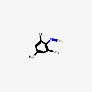 C=Nc1c(C)cc(C)cc1C